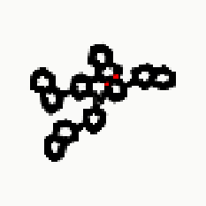 c1cc(-c2ccc3ccccc3c2)cc(N(c2ccc(-c3ccc4ccccc4c3)cc2)c2cc(-c3cccc4ccccc34)ccc2-c2cccc3ccccc23)c1